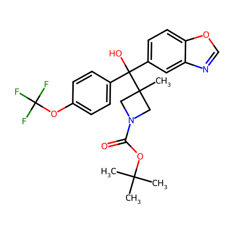 CC(C)(C)OC(=O)N1CC(C)(C(O)(c2ccc(OC(F)(F)F)cc2)c2ccc3ocnc3c2)C1